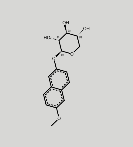 COc1ccc2cc(O[C@@H]3OC[C@@H](O)[C@H](O)[C@H]3O)ccc2c1